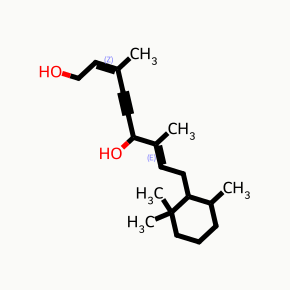 C/C(C#CC(O)/C(C)=C/CC1C(C)CCCC1(C)C)=C/CO